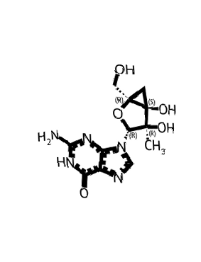 C[C@]1(O)[C@H](n2cnc3c(=O)[nH]c(N)nc32)O[C@@]2(CO)C[C@@]21O